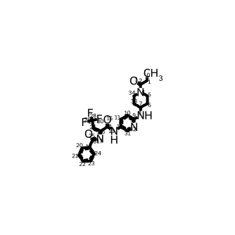 CCC(=O)N1CCC(Nc2ccc(NC(=O)c3nc(-c4ccccc4)oc3C(F)(F)F)cn2)CC1